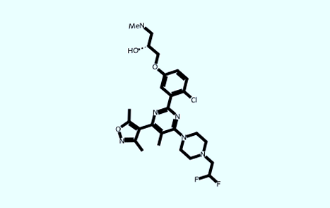 CNC[C@@H](O)COc1ccc(Cl)c(-c2nc(-c3c(C)noc3C)c(C)c(N3CCN(CC(F)F)CC3)n2)c1